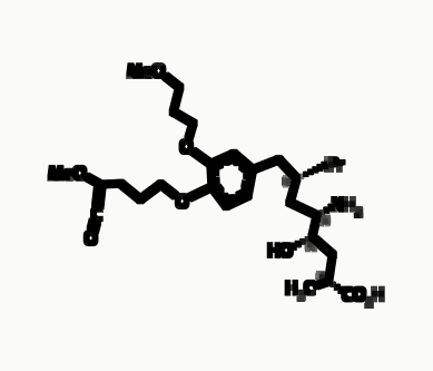 COCCCOc1cc(C[C@@H](C[C@H](N)[C@@H](O)C[C@@H](C)C(=O)O)C(C)C)ccc1OCCCC(=C=O)OC